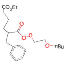 CCCCOCCOOC(=O)C(CCCC(=O)OCC)Cc1ccccc1